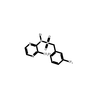 CCOC(=O)c1nccnc1N(CC)S(=O)(=O)Cc1cccc(C(F)(F)F)c1